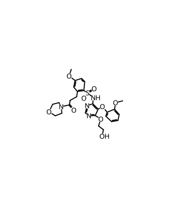 COc1ccc(S(=O)(=O)Nc2ncnc(OCCO)c2Oc2ccccc2OC)c(CCC(=O)N2CCOCC2)c1